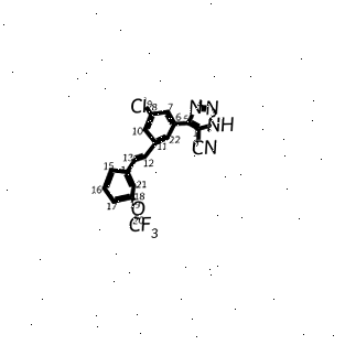 N#Cc1[nH]nnc1-c1cc(Cl)cc(/C=C/c2cccc(OC(F)(F)F)c2)c1